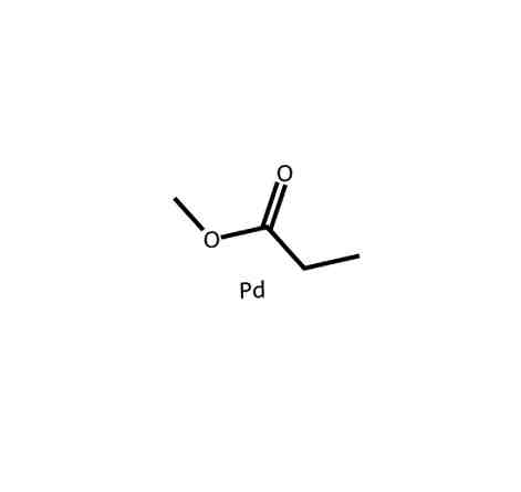 CCC(=O)OC.[Pd]